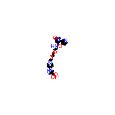 CN1C(=O)C[C@H](C(=O)NCCOCCOCCN2CCC(n3cc(C(=O)O)cn3)CC2)[C@H]1c1cccnc1